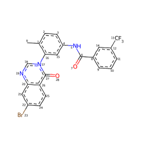 Cc1ccc(NC(=O)c2cccc(C(F)(F)F)c2)cc1-n1cnc2cc(Br)ccc2c1=O